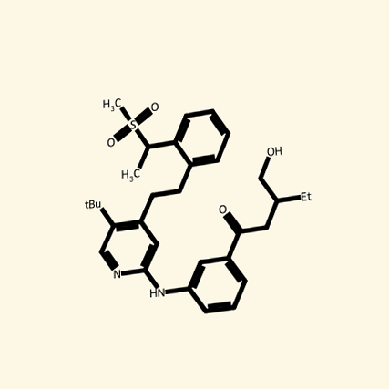 CCC(CO)CC(=O)c1cccc(Nc2cc(CCc3ccccc3C(C)S(C)(=O)=O)c(C(C)(C)C)cn2)c1